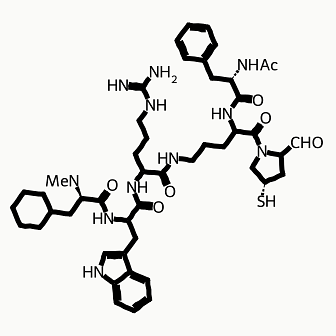 CN[C@H](CC1CCCCC1)C(=O)NC(Cc1c[nH]c2ccccc12)C(=O)NC(CCCNC(=N)N)C(=O)NCCCC(NC(=O)[C@H](Cc1ccccc1)NC(C)=O)C(=O)N1C[C@@H](S)CC1C=O